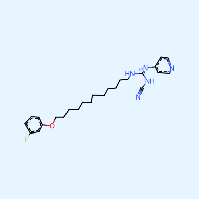 N#CN/C(=N\c1ccncc1)NCCCCCCCCCCCCOc1cccc(F)c1